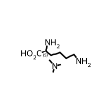 CN(C)C.NCCCC[C@H](N)C(=O)O